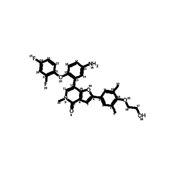 Cc1cc(-c2cc3c(=O)n(C)cc(-c4cc(N)ccc4Oc4ccc(F)cc4F)c3o2)cc(C)c1OCCO